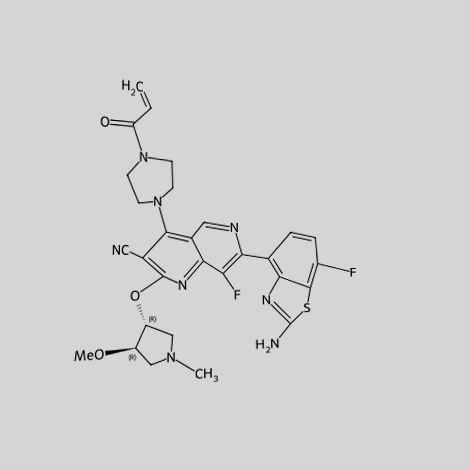 C=CC(=O)N1CCN(c2c(C#N)c(O[C@@H]3CN(C)C[C@H]3OC)nc3c(F)c(-c4ccc(F)c5sc(N)nc45)ncc23)CC1